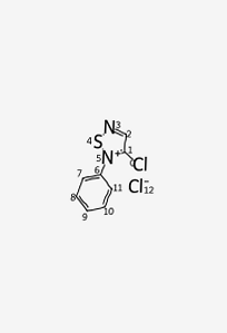 Clc1cns[n+]1-c1ccccc1.[Cl-]